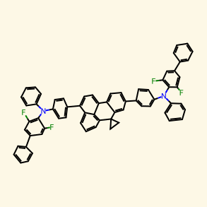 Fc1cc(-c2ccccc2)cc(F)c1N(c1ccccc1)c1ccc(-c2ccc3c(c2)C2(CC2)c2cccc4c(-c5ccc(N(c6ccccc6)c6c(F)cc(-c7ccccc7)cc6F)cc5)ccc-3c24)cc1